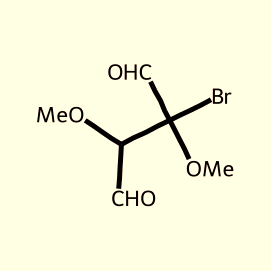 COC(C=O)C(Br)(C=O)OC